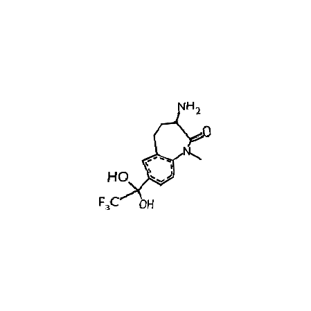 CN1C(=O)C(N)CCc2cc(C(O)(O)C(F)(F)F)ccc21